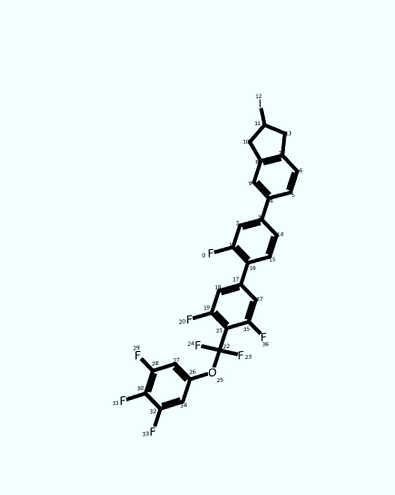 Fc1cc(-c2ccc3c(c2)CC(I)C3)ccc1-c1cc(F)c(C(F)(F)Oc2cc(F)c(F)c(F)c2)c(F)c1